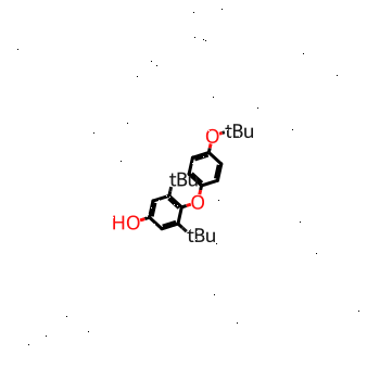 CC(C)(C)Oc1ccc(Oc2c(C(C)(C)C)cc(O)cc2C(C)(C)C)cc1